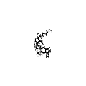 CC(C)CCC[C@@H](C)[C@H]1CC[C@H]2[C@H](CO)[C@@H]([C@@]3(C)Cc4cn[nH]c4C[C@@H]3CO)CC[C@]12C